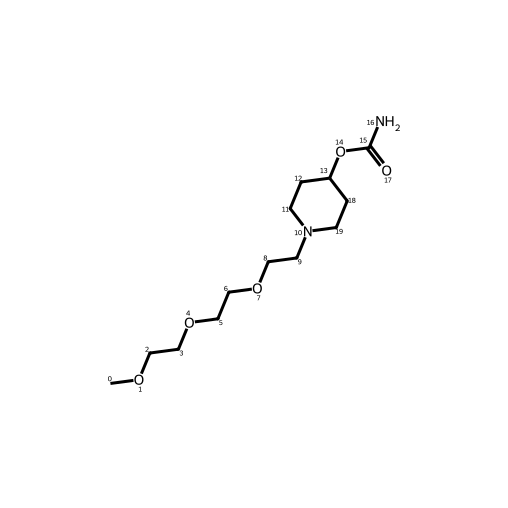 COCCOCCOCCN1CCC(OC(N)=O)CC1